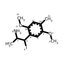 COc1cc(C(I)C(C)N)c(OC)cc1C